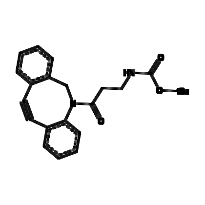 CC(C)(C)OC(=O)NCCC(=O)N1Cc2ccccc2C#Cc2ccccc21